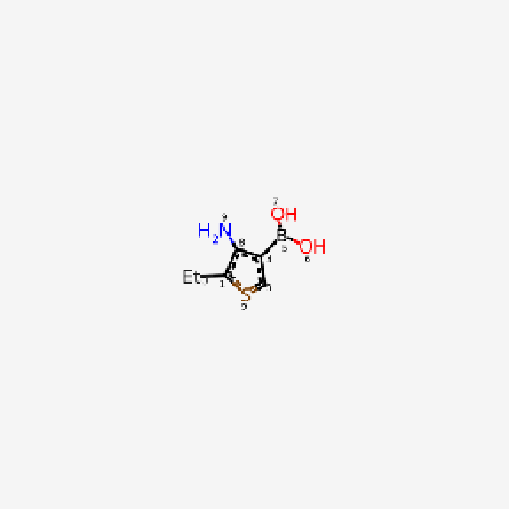 CCc1scc(B(O)O)c1N